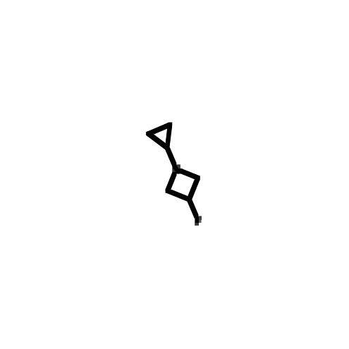 FC1CN(C2CC2)C1